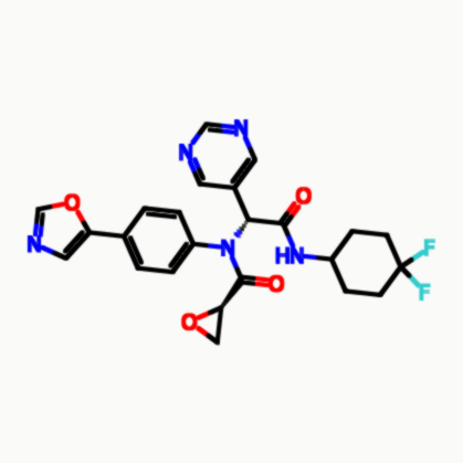 O=C(NC1CCC(F)(F)CC1)[C@@H](c1cncnc1)N(C(=O)[C@H]1CO1)c1ccc(-c2cnco2)cc1